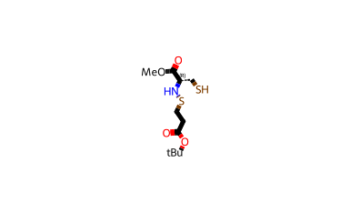 COC(=O)[C@H](CS)NSCCC(=O)OC(C)(C)C